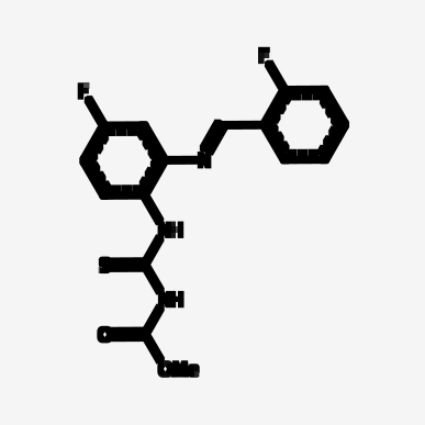 COC(=O)NC(=S)Nc1ccc(F)cc1/N=C/c1ccccc1F